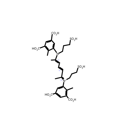 C\C(=C/C=C/C(C)=[N+](\CCCS(=O)(=O)O)c1cc(C(=O)O)cc(C(=O)O)c1C)N(CCCS(=O)(=O)O)c1cc(C(=O)O)cc(C(=O)O)c1C